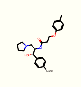 COc1ccc([C@H](O)[C@@H](CN2CCCC2)NC(=O)CCOc2ccc(C)cc2)cc1